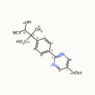 CCCCCCCCc1cnc(-c2ccc(C(C)(C(=O)O)C(C#N)CCC)cc2)nc1